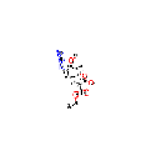 CCOC(=O)c1cc2cc(N=[N+]=[N-])c(OC)cc2oc1=O